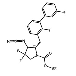 CC(C)(C)OC(=O)N1CC(F)(F)C(N=[N+]=[N-])[C@H]1Cc1cccc(-c2cccc(F)c2)c1F